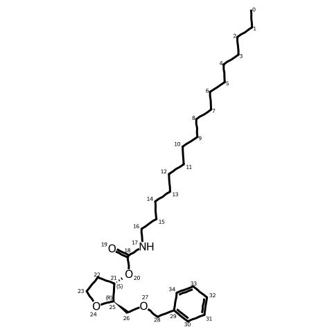 CCCCCCCCCCCCCCCCCNC(=O)O[C@H]1CCO[C@@H]1COCc1ccccc1